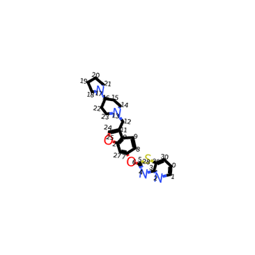 c1cnc2nc(Oc3ccc4c(CN5CCC(N6CCCC6)CC5)coc4c3)sc2c1